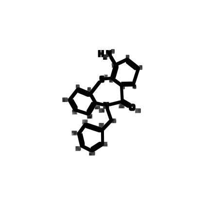 Nc1cccc2c1Sc1ccccc1N(Cc1ccccc1)C2=O